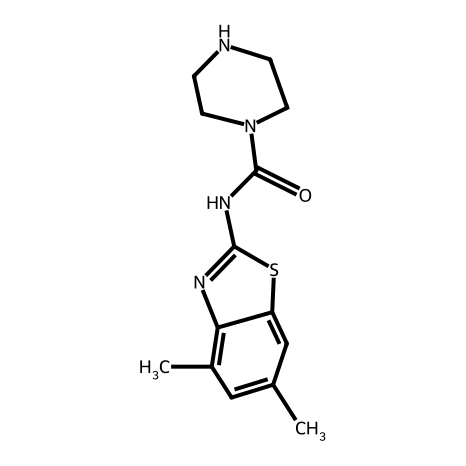 Cc1cc(C)c2nc(NC(=O)N3CCNCC3)sc2c1